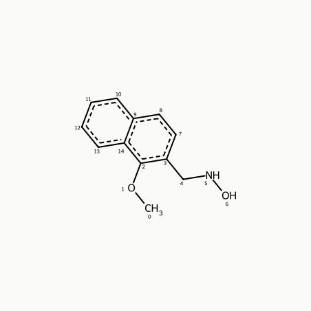 COc1c(CNO)ccc2ccccc12